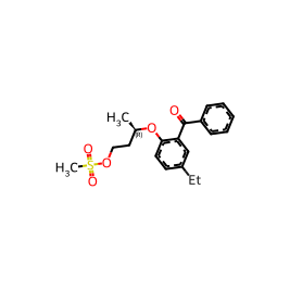 CCc1ccc(O[C@H](C)CCOS(C)(=O)=O)c(C(=O)c2ccccc2)c1